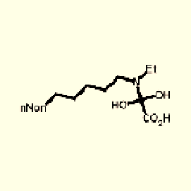 CCCCCCCCCCCCCCN(CC)C(O)(O)C(=O)O